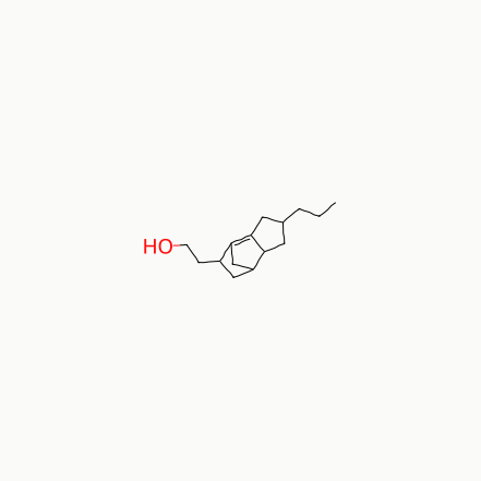 CCCC1CC2=C3CC(CC3CCO)C2C1